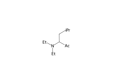 CCN(CC)C(CC(C)C)C(C)=O